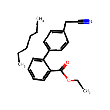 CCCCCC.CCOC(=O)c1ccccc1-c1ccc(CC#N)cc1